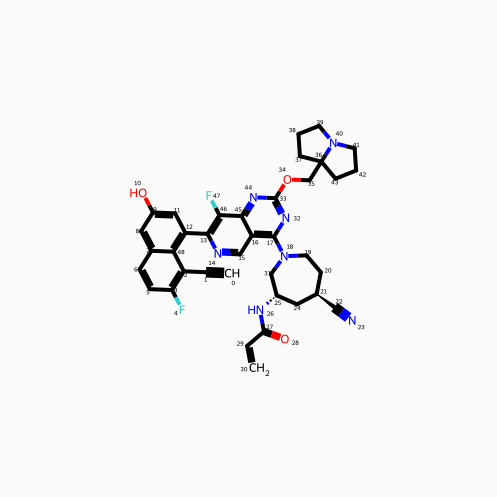 C#Cc1c(F)ccc2cc(O)cc(-c3ncc4c(N5CC[C@@H](C#N)C[C@H](NC(=O)C=C)C5)nc(OCC56CCCN5CCC6)nc4c3F)c12